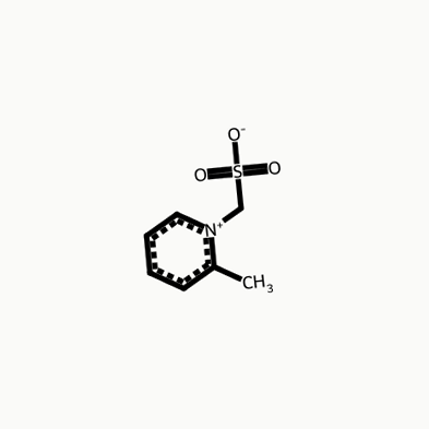 Cc1cccc[n+]1CS(=O)(=O)[O-]